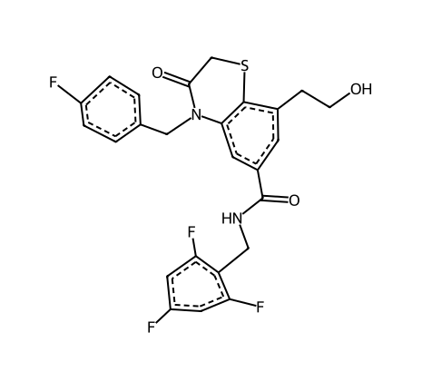 O=C(NCc1c(F)cc(F)cc1F)c1cc(CCO)c2c(c1)N(Cc1ccc(F)cc1)C(=O)CS2